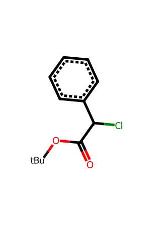 CC(C)(C)OC(=O)[C](Cl)c1ccccc1